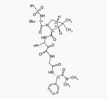 CCCC(NC(=O)[C@@H]1[C@@H]2[C@H](CN1C(=O)[C@@H](NS(=O)(=O)C(C)C)C(C)(C)C)C2(C)C)C(=O)C(=O)NCC(=O)N[C@H](C(=O)N(C)C)c1ccccc1